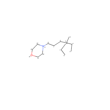 CC[Si](C)(CC)CCCN1CCOCC1